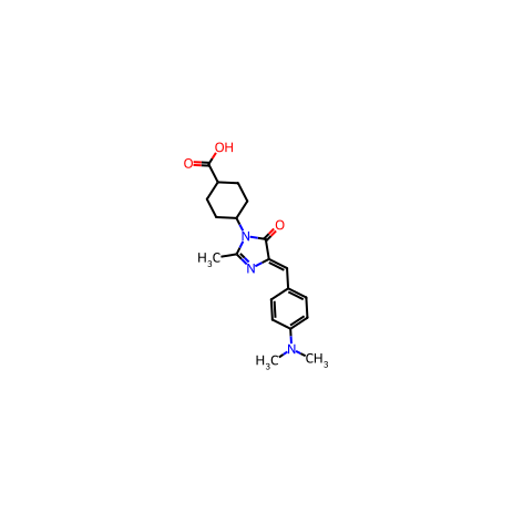 CC1=N/C(=C\c2ccc(N(C)C)cc2)C(=O)N1C1CCC(C(=O)O)CC1